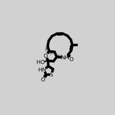 CC1=CC(=O)N[C@@H]2C[C@@H](CCCC=CCC1)O[C@@](O)(C1CSC(=O)N1)C2